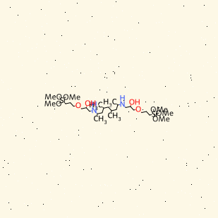 CO[Si](CCCOCC(O)CNC(C)CC(C)CC(C)CC(C)NCC(O)COCCC[Si](OC)(OC)OC)(OC)OC